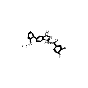 CSc1ccccc1-c1ccc2c(NC(=O)c3ccc(F)c(F)c3)n[nH]c2c1